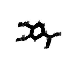 COc1ccc(S(=O)O)cc1NC(C)=O